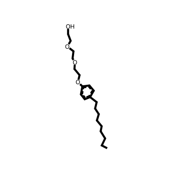 CCCCCCCCCc1ccc(OCCOCCOCCO)cc1